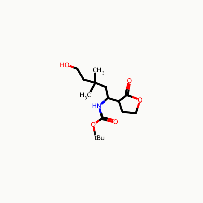 CC(C)(CCO)CC(NC(=O)OC(C)(C)C)C1CCOC1=O